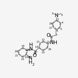 CN(C)c1ccc(CC(=O)Nc2ccc(C(=O)Nc3ccccc3N)cc2)cc1